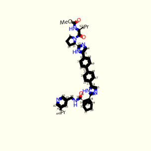 COC(=O)N[C@H](C(=O)N1CCC[C@H]1c1ncc(-c2ccc(-c3ccc(-c4cnc([C@H]5C6CCC(C6)[C@@H]5C(=O)NCc5cncc(C(C)C)c5)[nH]4)cc3)cc2)[nH]1)C(C)C